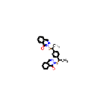 CC(Sn1ncc2ccccc2c1=O)c1ccc(C(C)Sn2ncc3ccccc3c2=O)cc1